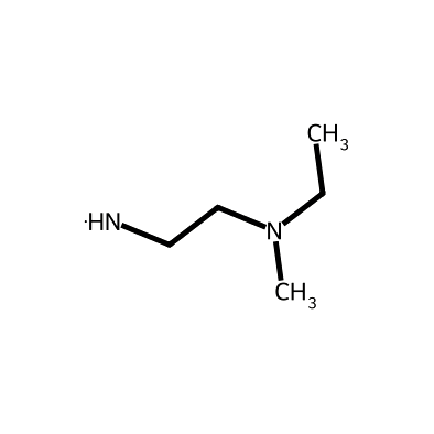 CCN(C)CC[NH]